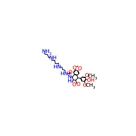 COc1cc(C2c3cc4c(cc3C(NC(=O)NCCCNCCCCNCCCN)C3COC(=O)C23)OCO4)cc(OC)c1O